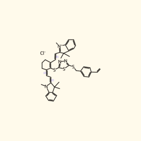 C=Cc1ccc(CSc2nnc(SC3=C(/C=C/C4=[N+](C)c5ccccc5C4(C)C)CCC/C3=C/C=C3\N(C)c4ccccc4C3(C)C)s2)cc1.[Cl-]